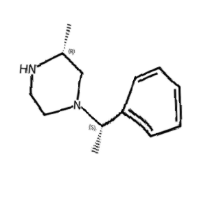 C[C@@H]1CN([C@@H](C)c2ccccc2)CCN1